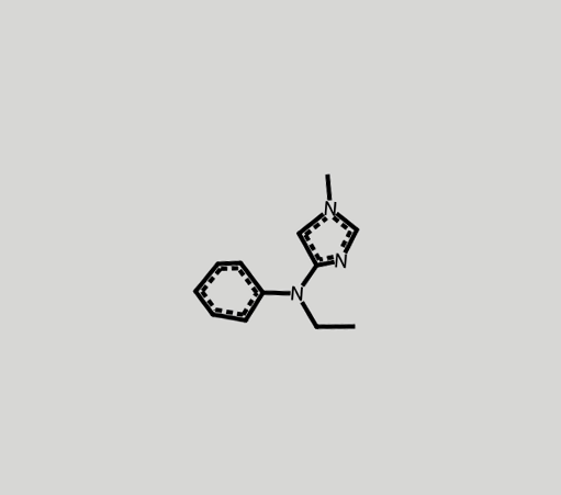 CCN(c1ccccc1)c1cn(C)cn1